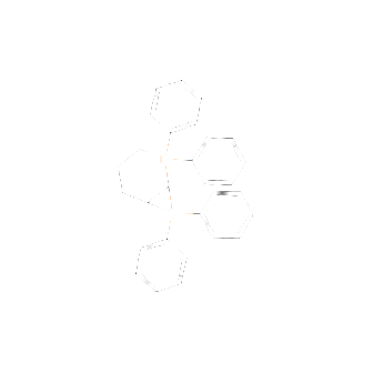 c1ccc([PH]2(c3ccccc3)CCCC3C2[PH]3(c2ccccc2)c2ccccc2)cc1